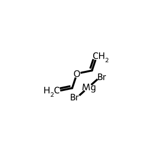 C=COC=C.[Br][Mg][Br]